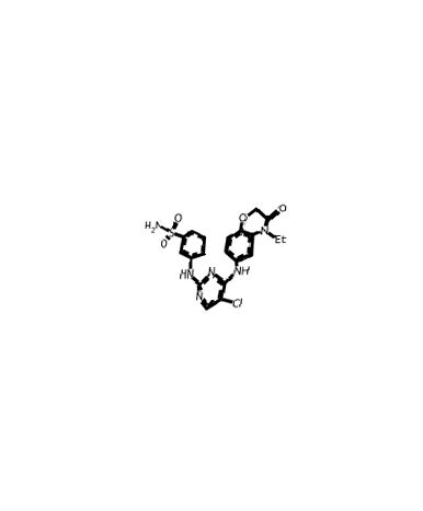 CCN1C(=O)COc2ccc(Nc3nc(Nc4cccc(S(N)(=O)=O)c4)ncc3Cl)cc21